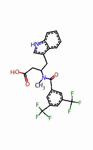 CN(C(=O)c1cc(C(F)(F)F)cc(C(F)(F)F)c1)C(CC(=O)O)Cc1c[nH]c2ccccc12